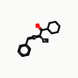 N#CC(=C=Cc1ccccc1)C(=O)C1CCCCC1